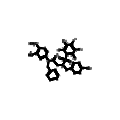 O=C(O)c1ccc(N(Cc2ccccc2)C(=O)CN(Cc2ccc(Cl)cc2)S(=O)(=O)c2c(F)c(F)c(F)c(F)c2F)cc1O